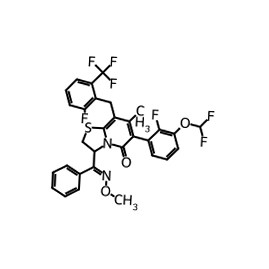 CON=C(c1ccccc1)C1CSc2c(Cc3c(F)cccc3C(F)(F)F)c(C)c(-c3cccc(OC(F)F)c3F)c(=O)n21